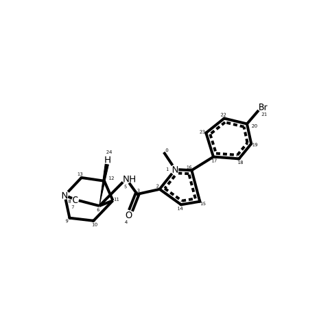 Cn1c(C(=O)N[C@H]2CN3CCC2CC3)ccc1-c1ccc(Br)cc1